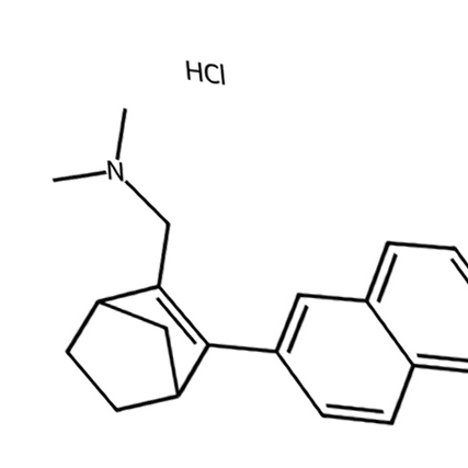 CN(C)CC1=C(c2ccc3ccccc3c2)C2CCC1C2.Cl